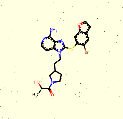 C[C@@H](O)C(=O)N1CCC(CCn2c(Sc3cc4occc4cc3Br)nc3c(N)nccc32)C1